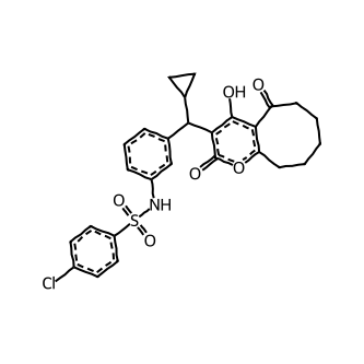 O=C1CCCCCc2oc(=O)c(C(c3cccc(NS(=O)(=O)c4ccc(Cl)cc4)c3)C3CC3)c(O)c21